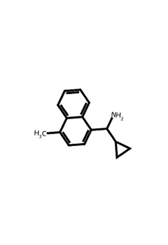 Cc1ccc(C(N)C2CC2)c2ccccc12